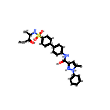 COC(=O)C(NS(=O)(=O)c1ccc(-c2ccc(NC(=O)c3cc(C)n(-c4ccccc4)n3)cc2)cc1)C(C)C